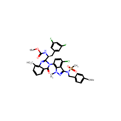 COc1ccc(CN(c2nn(C)c3c(-n4c([C@H](Cc5cc(F)cc(F)c5)NC(=O)OC(C)(C)C)nc5c(C(=O)O)cccc5c4=O)ccc(Cl)c23)S(C)(=O)=O)cc1